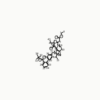 CCOC(=O)CC(=O)N1CCc2nc(CC)n(Cc3ccc(-c4ccccc4C(=O)OC(C)(C)C)cc3)c2C1C(=O)OCC